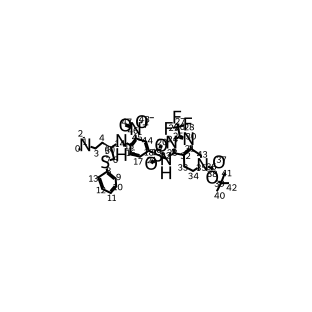 CN(C)CC[C@H](CSc1ccccc1)Nc1ccc(S(=O)(=O)Nc2nc(C(F)(F)F)nc3c2CCN(C(=O)OC(C)(C)C)C3)cc1[N+](=O)[O-]